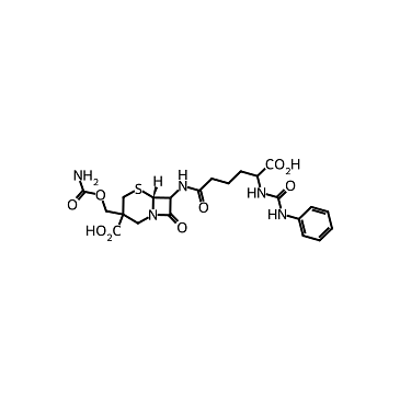 NC(=O)OCC1(C(=O)O)CS[C@@H]2C(NC(=O)CCCC(NC(=O)Nc3ccccc3)C(=O)O)C(=O)N2C1